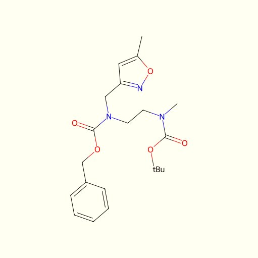 Cc1cc(CN(CCN(C)C(=O)OC(C)(C)C)C(=O)OCc2ccccc2)no1